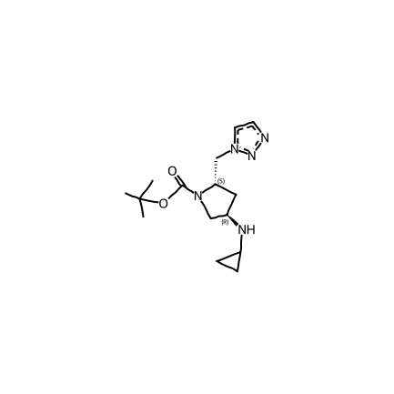 CC(C)(C)OC(=O)N1C[C@H](NC2CC2)C[C@H]1Cn1ccnn1